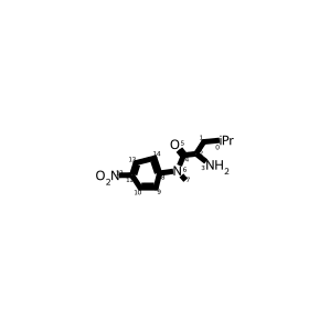 CC(C)CC(N)C(=O)N(C)c1ccc([N+](=O)[O-])cc1